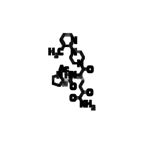 CC(=O)N1CCC[C@H]1C(=O)N[C@@H](CCC(=O)C(N)=O)C(=O)N1CCN(c2ncccc2C)CC1